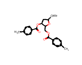 COC1CC(OC(=O)c2ccc(C)cc2)C(COC(=O)c2ccc(C)cc2)O1